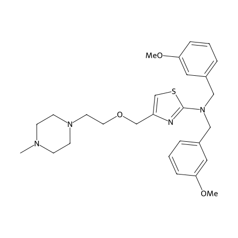 COc1cccc(CN(Cc2cccc(OC)c2)c2nc(COCCN3CCN(C)CC3)cs2)c1